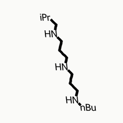 CCCCNCCCNCCCNCC(C)C